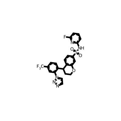 O=S(=O)(Nc1cccc(F)n1)c1ccc2c(c1)OCCC2c1ccc(C(F)(F)F)cc1-n1ccnn1